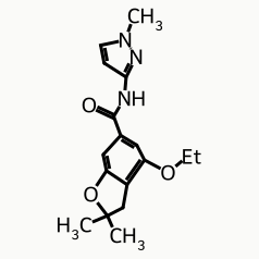 CCOc1cc(C(=O)Nc2ccn(C)n2)cc2c1CC(C)(C)O2